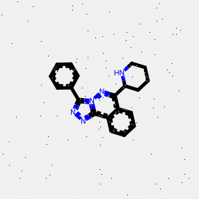 c1ccc(-c2nnc3c4ccccc4c(C4CCCCN4)nn23)cc1